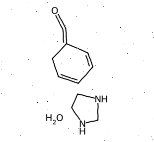 C1CNCN1.O.O=C=C1C=CC=CC1